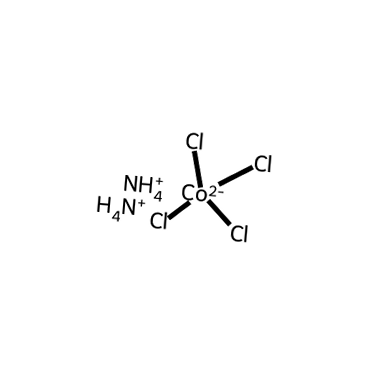 [Cl][Co-2]([Cl])([Cl])[Cl].[NH4+].[NH4+]